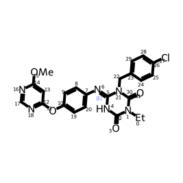 CCn1c(=O)[nH]/c(=N\c2ccc(Oc3cc(OC)ncn3)cc2)n(Cc2ccc(Cl)cc2)c1=O